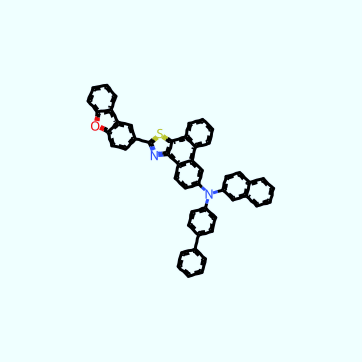 c1ccc(-c2ccc(N(c3ccc4ccccc4c3)c3ccc4c(c3)c3ccccc3c3sc(-c5ccc6oc7ccccc7c6c5)nc43)cc2)cc1